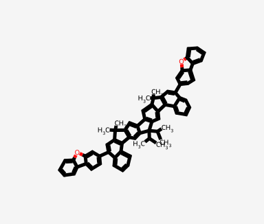 CC(C)C1(C(C)C)c2cc3c(cc2-c2cc4c(cc21)-c1c(cc(-c2ccc5c(c2)oc2ccccc25)c2ccccc12)C4(C)C)C(C)(C)c1cc(-c2ccc4c(c2)oc2ccccc24)c2ccccc2c1-3